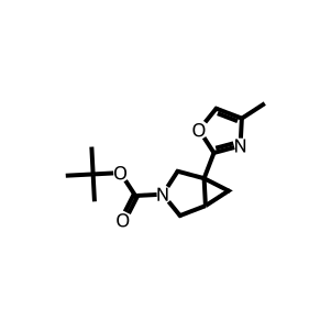 Cc1coc(C23CC2CN(C(=O)OC(C)(C)C)C3)n1